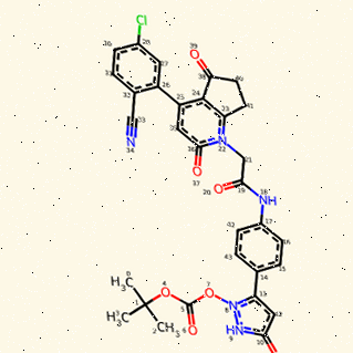 CC(C)(C)OC(=O)On1[nH]c(=O)cc1-c1ccc(NC(=O)Cn2c3c(c(-c4cc(Cl)ccc4C#N)cc2=O)C(=O)CC3)cc1